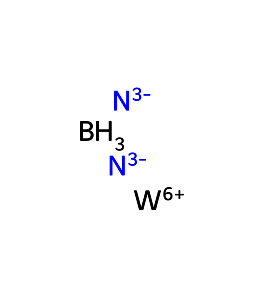 B.[N-3].[N-3].[W+6]